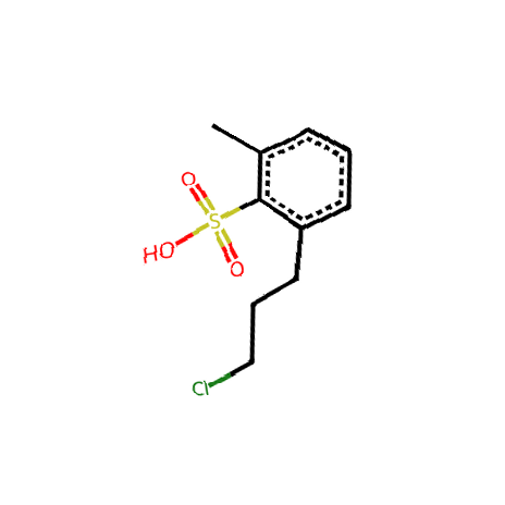 Cc1cccc(CCCCl)c1S(=O)(=O)O